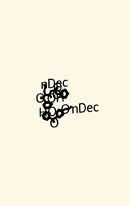 CCCCCCCCCCCCC(C(=O)c1ccccc1)C(O)CC(=O)Oc1ccccc1.CCCCCCCCCCCCOc1ccc(C(=O)c2ccccc2)c(O)c1